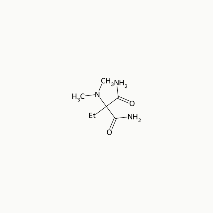 CCC(C(N)=O)(C(N)=O)N(C)C